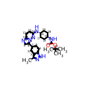 Cc1n[nH]c2ccc(-c3cnc4ccc(N[C@H]5CC[C@H](NC(=O)OC(C)(C)C)CC5)nn34)cc12